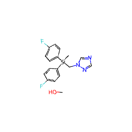 CO.C[Si](Cn1cncn1)(c1ccc(F)cc1)c1ccc(F)cc1